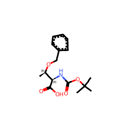 C[C@@H](OCc1ccccc1)[C@@H](NC(=O)OC(C)(C)C)C(=O)O